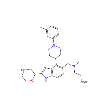 CNCCN(C)Cc1ccc2[nH]c(C3CNCCO3)nc2c1C1CCN(c2cccc(C)c2)CC1